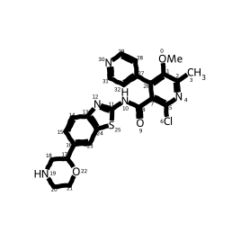 COc1c(C)nc(Cl)c(C(=O)Nc2nc3ccc(C4CNCCO4)cc3s2)c1-c1ccncc1